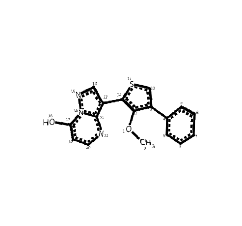 COc1c(-c2ccccc2)csc1-c1cnn2c(O)ccnc12